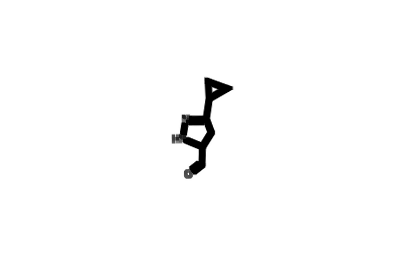 O=CC1CC(C2CC2)=NN1